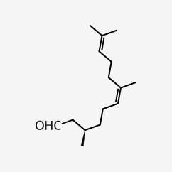 CC(C)=CCC/C(C)=C\CC[C@@H](C)CC=O